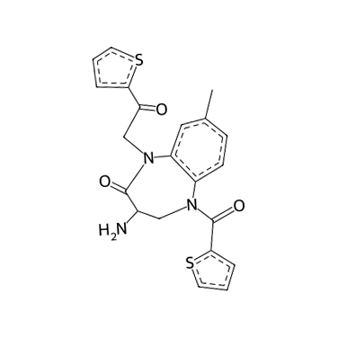 Cc1ccc2c(c1)N(CC(=O)c1cccs1)C(=O)C(N)CN2C(=O)c1cccs1